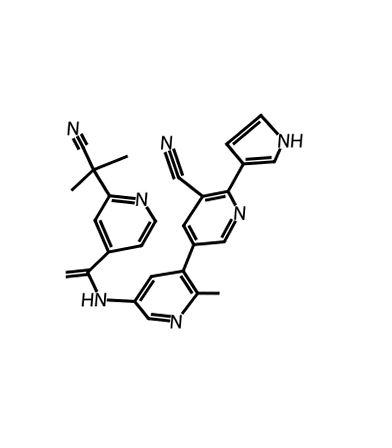 C=C(Nc1cnc(C)c(-c2cnc(-c3cc[nH]c3)c(C#N)c2)c1)c1ccnc(C(C)(C)C#N)c1